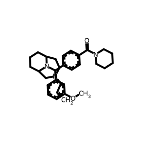 C=CCN1CCC2CCCC(C1)N2C(c1ccc(C(=O)N2CCCCC2)cc1)c1cccc(OC)c1